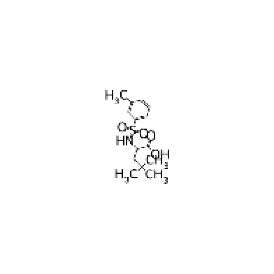 Cc1cccc(S(=O)(=O)NC(CC(C)(C)C)C(=O)O)c1